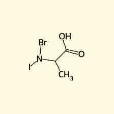 CC(C(=O)O)N(Br)I